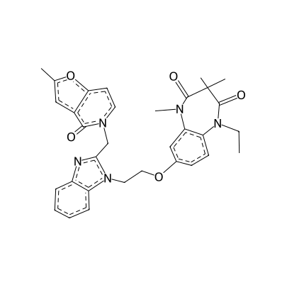 CCN1C(=O)C(C)(C)C(=O)N(C)c2cc(OCCn3c(Cn4ccc5oc(C)cc5c4=O)nc4ccccc43)ccc21